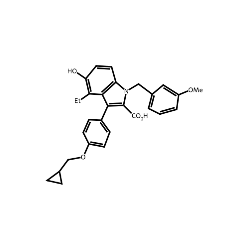 CCc1c(O)ccc2c1c(-c1ccc(OCC3CC3)cc1)c(C(=O)O)n2Cc1cccc(OC)c1